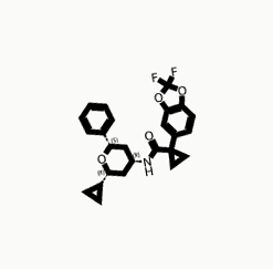 O=C(N[C@H]1C[C@@H](c2ccccc2)O[C@@H](C2CC2)C1)C1(c2ccc3c(c2)OC(F)(F)O3)CC1